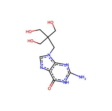 Nc1nc2c(ncn2CC(CO)(CO)CO)c(=O)[nH]1